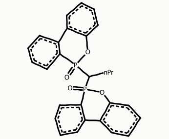 CCCC(P1(=O)Oc2ccccc2-c2ccccc21)P1(=O)Oc2ccccc2-c2ccccc21